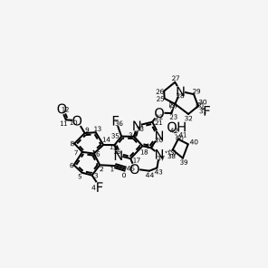 C#Cc1c(F)ccc2cc(OC=O)cc(-c3nc4c5c(nc(OC[C@@]67CCCN6C[C@H](F)C7)nc5c3F)N([C@H]3CC[C@H]3O)CCO4)c12